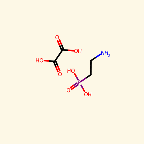 NCCP(=O)(O)O.O=C(O)C(=O)O